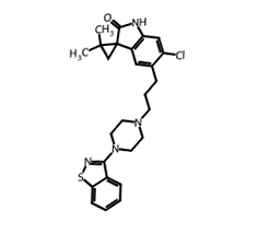 CC1(C)CC12C(=O)Nc1cc(Cl)c(CCCN3CCN(c4nsc5ccccc45)CC3)cc12